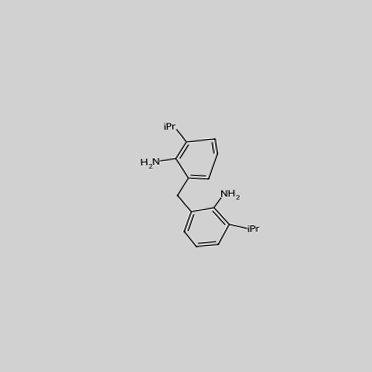 CC(C)c1cccc(Cc2cccc(C(C)C)c2N)c1N